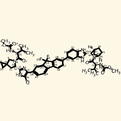 COC(=O)N[C@H](C(=O)N1CC2(CC2)C[C@H]1c1nc(-c2ccc3c(c2)C(F)(F)c2cc(-c4ccc5nc([C@@H]6[C@H]7CC[C@H](C7)N6C(=O)[C@@H](NC(=O)OC)C(C)C)[nH]c5c4)ccc2-3)c(Cl)[nH]1)C(C)C